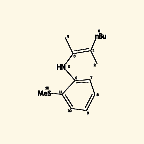 CCCCC(C)=C(C)Nc1ccccc1SC